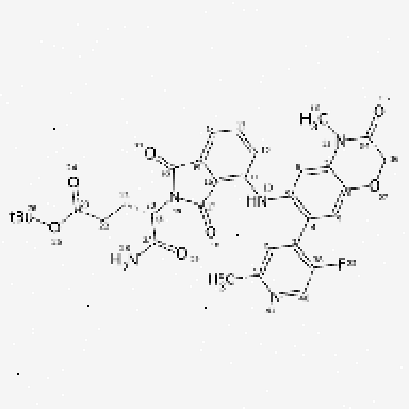 Cc1cc(-c2cc3c(cc2Nc2cccc4c2C(=O)N([C@@H](CCC(=O)OC(C)(C)C)C(N)=O)C4=O)N(C)C(=O)CO3)c(F)cn1